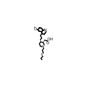 CCCSCCCN1CC[C@@H](CCCc2ccnc3ccc(OC)cc23)[C@@H](CC(=O)O)C1